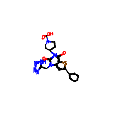 O=C(O)N1CCC(n2c(=O)c3sc(-c4ccccc4)cc3n(Cc3nnn[nH]3)c2=O)CC1